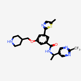 Cc1cnc(-c2cc(OCC3CCNCC3)cc(C(=O)NC(C)c3cnc(C(F)(F)F)nc3)c2)s1